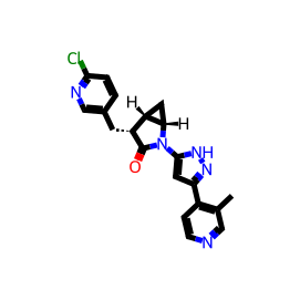 Cc1cnccc1-c1cc(N2C(=O)[C@H](Cc3ccc(Cl)nc3)[C@@H]3C[C@@H]32)[nH]n1